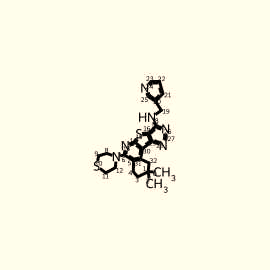 CC1(C)CCc2c(N3CCSCC3)nc3sc4c(NCc5cccnc5)ncnc4c3c2C1